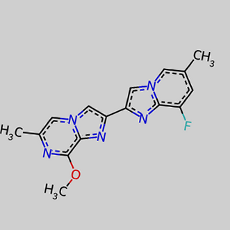 COc1nc(C)cn2cc(-c3cn4cc(C)cc(F)c4n3)nc12